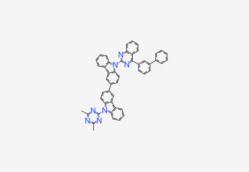 Cc1nc(C)nc(-n2c3ccccc3c3cc(-c4ccc5c(c4)c4ccccc4n5-c4nc(-c5cccc(-c6ccccc6)c5)c5ccccc5n4)ccc32)n1